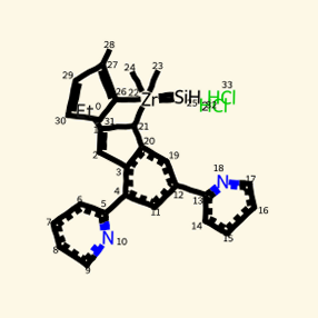 CCC1=Cc2c(-c3ccccn3)cc(-c3ccccn3)cc2[CH]1[Zr]([CH3])([CH3])(=[SiH2])[C]1=C(C)C=CC1.Cl.Cl